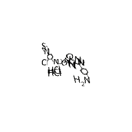 Cl.Cl.Cn1nc2c(=O)n(CC3(O)CCN(Cc4ccc(N5CCSCC5)cc4Cl)CC3)cnc2c1-c1ccc(CN)cc1